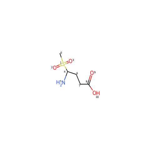 CS(=O)(=O)C(N)CCC(=O)O